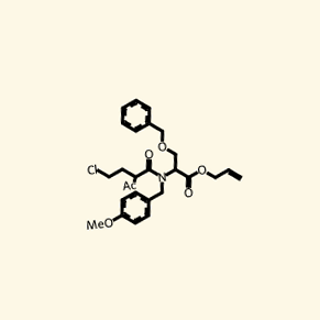 C=CCOC(=O)C(COCc1ccccc1)N(Cc1ccc(OC)cc1)C(=O)C(CCCl)C(C)=O